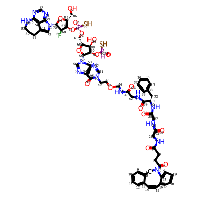 O=C(CCC(=O)N1Cc2ccccc2C#Cc2ccccc21)NCC(=O)NCC(=O)N[C@@H](Cc1ccccc1)C(=O)NCC(=O)NCOCCn1cnc2c(ncn2[C@@H]2O[C@H](COP(=O)(S)O[C@H]3[C@@H](F)[C@H](n4cc5c6c(ncnc64)NCCC5)O[C@@H]3CO)[C@@H](O)[C@H]2O[PH](=O)S)c1=O